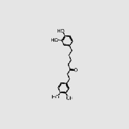 O=C(CCCCc1ccc(O)c(O)c1)CCc1ccc(O)c(O)c1